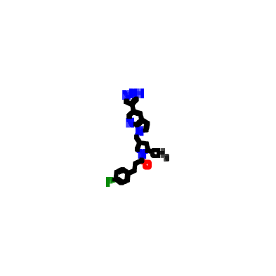 CC1CC(Cn2ccc3cc(-c4cn[nH]c4)cnc32)CN1C(=O)CCc1ccc(F)cc1